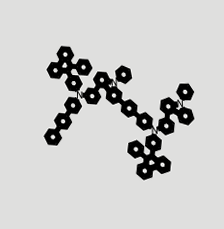 c1ccc(-c2ccc(-c3ccc(N(c4ccc(-c5c(-c6ccccc6)c6ccccc6c6ccccc56)cc4)c4cccc(-c5cccc6c5c5ccc(-c7ccc(-c8ccc(N(c9ccc(-c%10c(-c%11ccccc%11)c%11ccccc%11c%11ccccc%10%11)cc9)c9cccc(-c%10cccc%11c%10c%10ccccc%10n%11-c%10ccccc%10)c9)cc8)cc7)cc5n6-c5ccccc5)c4)cc3)cc2)cc1